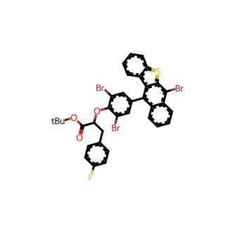 CC(C)(C)OC(=O)C(Cc1ccc(F)cc1)Oc1c(Br)cc(-c2c3ccccc3c(Br)c3sc4ccccc4c23)cc1Br